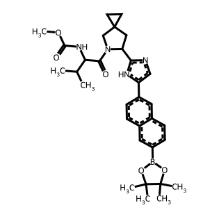 COC(=O)NC(C(=O)N1CC2(CC2)CC1c1ncc(-c2ccc3cc(B4OC(C)(C)C(C)(C)O4)ccc3c2)[nH]1)C(C)C